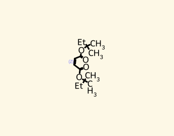 CCC(C)(C)OC(=O)/C=C\C(=O)OC(C)(C)CC